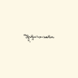 CC(C)(C)OC(=O)NCCOCCOCCOCCNC(=O)CCC(N)C(=O)OC(C)(C)C